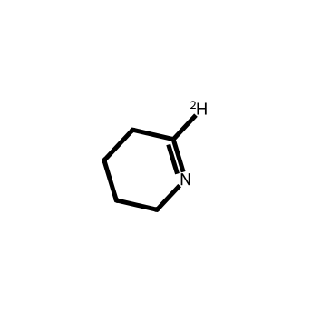 [2H]C1=NCCCC1